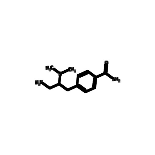 CN(C)C(CN)Cc1ccc(C(N)=O)cc1